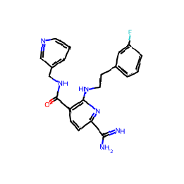 N=C(N)c1ccc(C(=O)NCc2cccnc2)c(NCCc2cccc(F)c2)n1